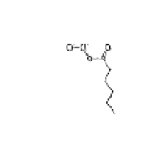 CCCCCC(=O)O[Cl+][O-]